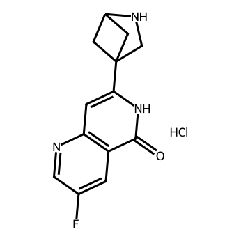 Cl.O=c1[nH]c(C23CNC(C2)C3)cc2ncc(F)cc12